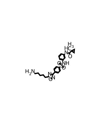 CC1(C(=O)Nc2cccc(NS(=O)(=O)c3ccc(-c4noc(CCCCCN)n4)cc3)c2)CC1